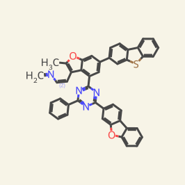 C=N/C=C\c1c(C)oc2cc(-c3ccc4c(c3)sc3ccccc34)cc(-c3nc(-c4ccccc4)nc(-c4ccc5c(c4)oc4ccccc45)n3)c12